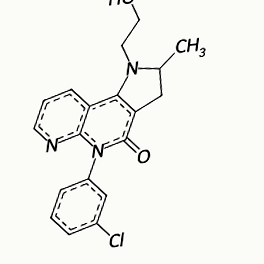 CC1Cc2c(c3cccnc3n(-c3cccc(Cl)c3)c2=O)N1CCO